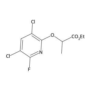 CCOC(=O)C(C)Oc1nc(F)c(Cl)cc1Cl